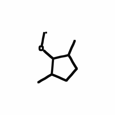 [CH2]OC1C(C)CCC1C